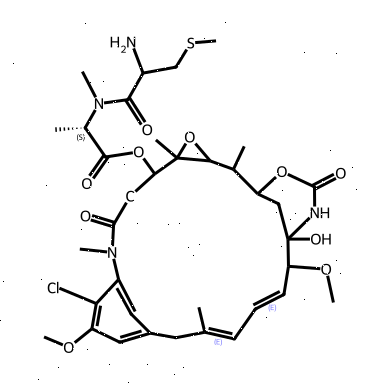 COc1cc2cc(c1Cl)N(C)C(=O)CC(OC(=O)[C@H](C)N(C)C(=O)C(N)CSC)C1(C)OC1C(C)C1CC(O)(NC(=O)O1)C(OC)/C=C/C=C(\C)C2